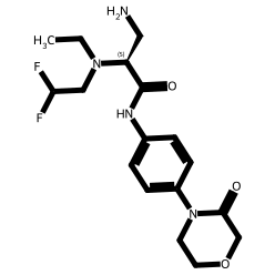 CCN(CC(F)F)[C@@H](CN)C(=O)Nc1ccc(N2CCOCC2=O)cc1